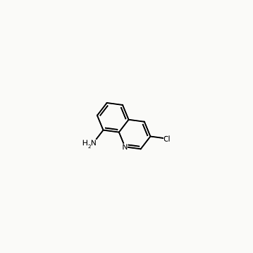 Nc1cccc2cc(Cl)cnc12